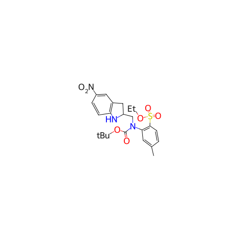 CCOS(=O)(=O)c1ccc(C)cc1N(CC1Cc2cc([N+](=O)[O-])ccc2N1)C(=O)OC(C)(C)C